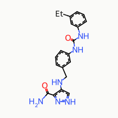 CCc1cccc(NC(=O)Nc2cccc(CNc3c[nH]nc3C(N)=O)c2)c1